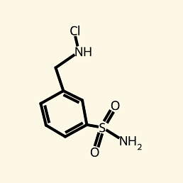 NS(=O)(=O)c1cccc(CNCl)c1